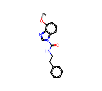 CC(C)Oc1cccc2c1ncn2C(=O)NCCc1ccccc1